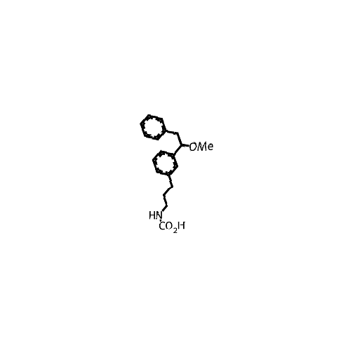 COC(Cc1ccccc1)c1cccc(CCCNC(=O)O)c1